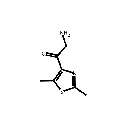 Cc1nc(C(=O)CN)c(C)s1